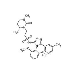 COc1cccc(OC)c1-n1c(NS(=O)(=O)CCN2C(=O)N(C)CC[C@H]2C)nnc1-c1cncc(C)c1